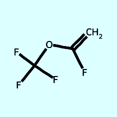 C=C(F)OC(F)(F)F